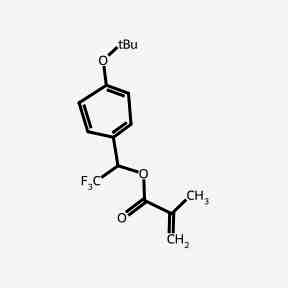 C=C(C)C(=O)OC(c1ccc(OC(C)(C)C)cc1)C(F)(F)F